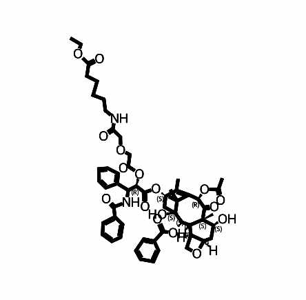 CCOC(=O)CCCCCNC(=O)COCC(=O)O[C@@H](C(=O)O[C@H]1C[C@@]2(O)[C@@H](OC(=O)c3ccccc3)[C@@H]3[C@@H]4CO[C@@H]4C[C@H](O)[C@@]3(C)C(=O)[C@H](OC(C)=O)C(=C1C)C2(C)C)C(NC(=O)c1ccccc1)c1ccccc1